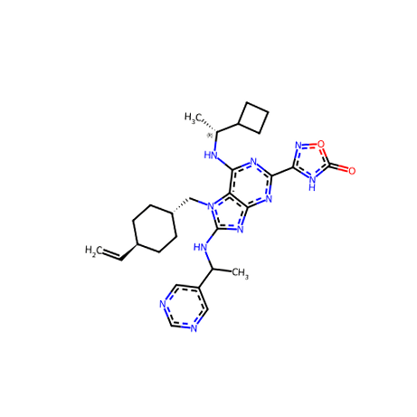 C=C[C@H]1CC[C@H](Cn2c(NC(C)c3cncnc3)nc3nc(-c4noc(=O)[nH]4)nc(N[C@H](C)C4CCC4)c32)CC1